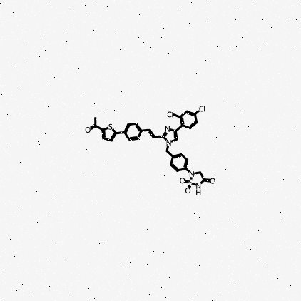 CC(=O)c1ccc(-c2ccc(C=Cc3nc(-c4ccc(Cl)cc4Cl)cn3Cc3ccc(N4CC(=O)NS4(=O)=O)cc3)cc2)s1